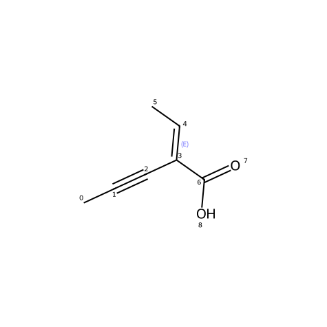 CC#C/C(=C\C)C(=O)O